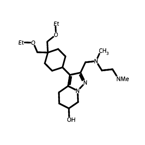 CCOCC1(COCC)CCC(c2c(CN(C)CCNC)nn3c2CCC(O)C3)CC1